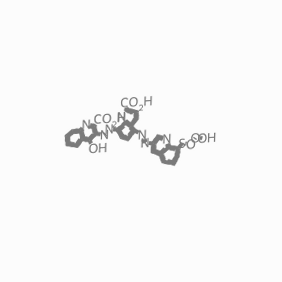 O=C(O)c1ccc2c(/N=N/c3cnc4c(SOOO)cccc4c3)ccc(/N=N/c3c(C(=O)O)nc4ccccc4c3O)c2n1